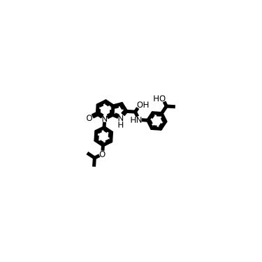 CC(C)Oc1ccc(-n2c(=O)ccc3cc(C(O)Nc4cccc(C(C)O)c4)[nH]c32)cc1